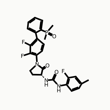 Cc1ccc(NC(=O)N[C@@H]2CCN(c3ccc(-c4ccccc4P(C)(C)=O)c(F)c3F)C2=O)c(F)c1